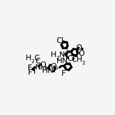 C=C=C(NCC(F)(F)I)OC[C@@H]1CO[C@H](CCc2c(F)cccc2NC(=C=C)[C@@H](N)[C@H](c2ccc(Cl)cc2)c2ccc3c(c2)OCO3)CN1